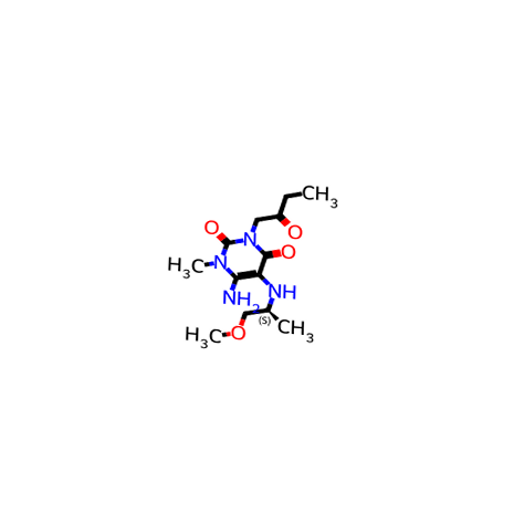 CCC(=O)Cn1c(=O)c(N[C@@H](C)COC)c(N)n(C)c1=O